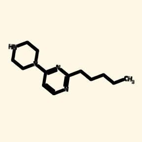 CCCCCc1nccc(N2CCNCC2)n1